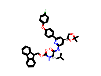 CC(C)C[C@H](NC(=O)OCC1c2ccccc2-c2ccccc21)C(=O)Nc1cc([C@H]2COC(C)(C)O2)cc(-c2ccc(Oc3ccc(F)cc3)cc2)n1